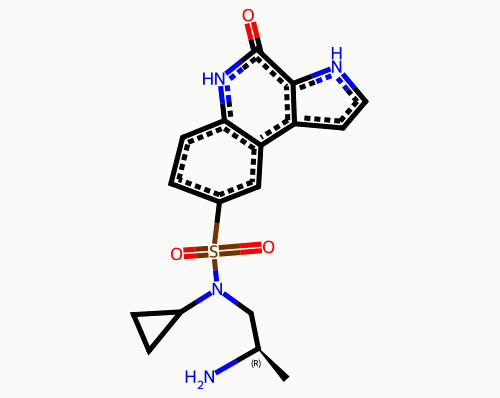 C[C@@H](N)CN(C1CC1)S(=O)(=O)c1ccc2[nH]c(=O)c3[nH]ccc3c2c1